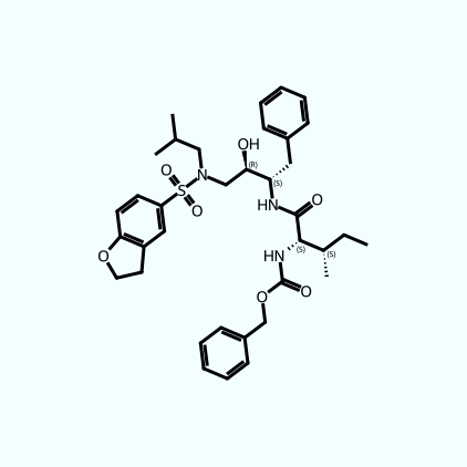 CC[C@H](C)[C@H](NC(=O)OCc1ccccc1)C(=O)N[C@@H](Cc1ccccc1)[C@H](O)CN(CC(C)C)S(=O)(=O)c1ccc2c(c1)CCO2